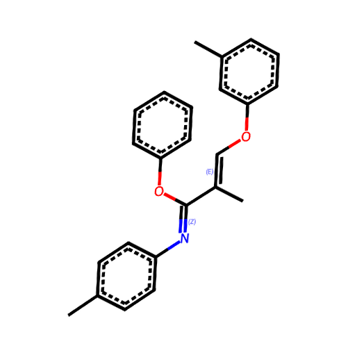 CC(=C\Oc1cccc(C)c1)/C(=N/c1ccc(C)cc1)Oc1ccccc1